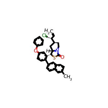 C=C[C@@H](CCl)[C@H]1CCN2C(=O)S[C@H](c3cc(Oc4ccccc4)ccc3-c3ccc4cc(C)ccc4c3)[C@@H]2C1